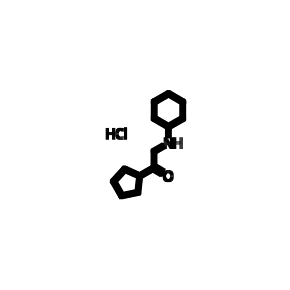 Cl.O=C(CNC1CCCCC1)C1CCCC1